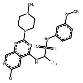 CC(Nc1nc(N2CCN(C)CC2)nc2cnc(Cl)cc12)S(=O)(=O)Nc1cccc(OC(F)(F)F)c1